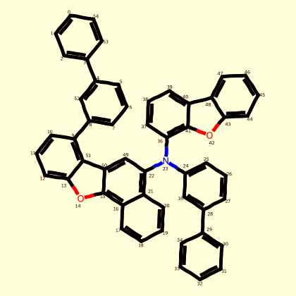 c1ccc(-c2cccc(-c3cccc4oc5c6ccccc6c(N(c6cccc(-c7ccccc7)c6)c6cccc7c6oc6ccccc67)cc5c34)c2)cc1